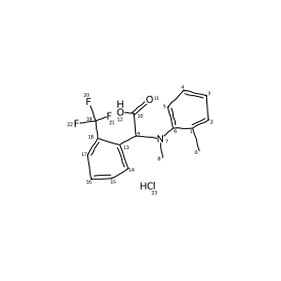 Cc1ccccc1N(C)C(C(=O)O)c1ccccc1C(F)(F)F.Cl